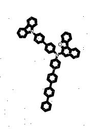 c1ccc(-c2ccc(-c3ccc(-c4ccc(N(c5ccc(-c6ccc(-n7c8ccccc8c8ccccc87)cc6)cc5)c5cc6ccccc6c6c5oc5ccccc56)cc4)cc3)cc2)cc1